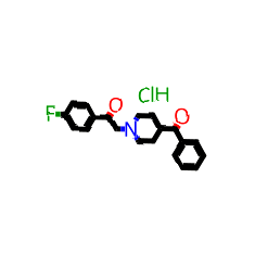 Cl.O=C(CN1CCC(C(=O)c2ccccc2)CC1)c1ccc(F)cc1